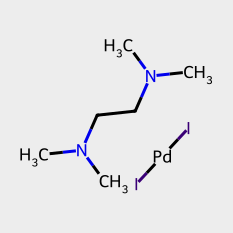 CN(C)CCN(C)C.[I][Pd][I]